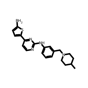 Bc1ccc(-c2ccnc(Nc3cccc(CN4CCC(C)CC4)c3)n2)s1